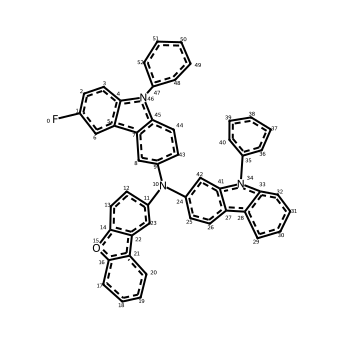 Fc1ccc2c(c1)c1cc(N(c3ccc4oc5ccccc5c4c3)c3ccc4c5ccccc5n(-c5ccccc5)c4c3)ccc1n2-c1ccccc1